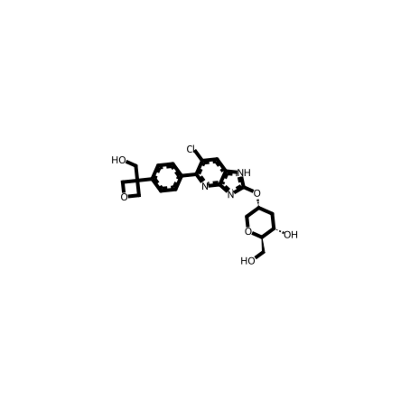 OC[C@H]1OC[C@H](Oc2nc3nc(-c4ccc(C5(CO)COC5)cc4)c(Cl)cc3[nH]2)C[C@@H]1O